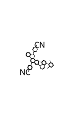 Cc1cccc(C)c1-c1ccc2c3c1C=CCC3c1cc3c(-c4ccc(C#N)cc4)cc4c(c3cc1-2)CC(C1=CCC(C#N)C=C1)c1ccccc1-4